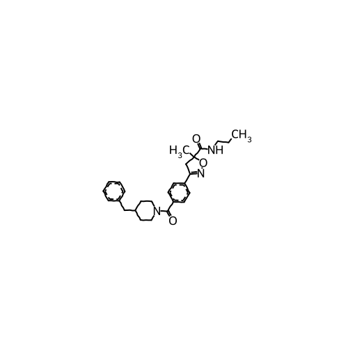 CCCNC(=O)C1(C)CC(c2ccc(C(=O)N3CCC(Cc4ccccc4)CC3)cc2)=NO1